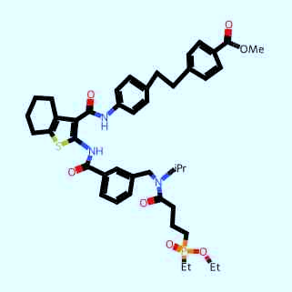 CCOP(=O)(CC)CCCC(=O)N(Cc1cccc(C(=O)Nc2sc3c(c2C(=O)Nc2ccc(CCc4ccc(C(=O)OC)cc4)cc2)CCCC3)c1)C(C)C